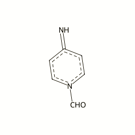 N=c1ccn(C=O)cc1